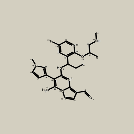 CCC(Nc1nc2c(C=O)cnn2c(N)c1-c1ccn(C)c1)c1cc(F)cnc1OC(C)CNC